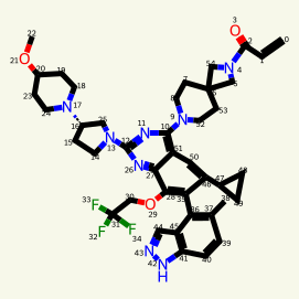 C=CC(=O)N1CC2(CCN(c3nc(N4CC[C@H](N5CCC(OC)CC5)C4)nc4c(OCC(F)(F)F)c(-c5c(C)ccc6[nH]ncc56)c(C5CC5)cc34)CC2)C1